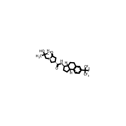 CC(C)(O)CN1C[C@@H](C(=O)N[C@@H]2CC[C@H]3c4ccc(C(F)(C(F)(F)F)C(F)(F)F)cc4CC[C@@H]23)CC1=O